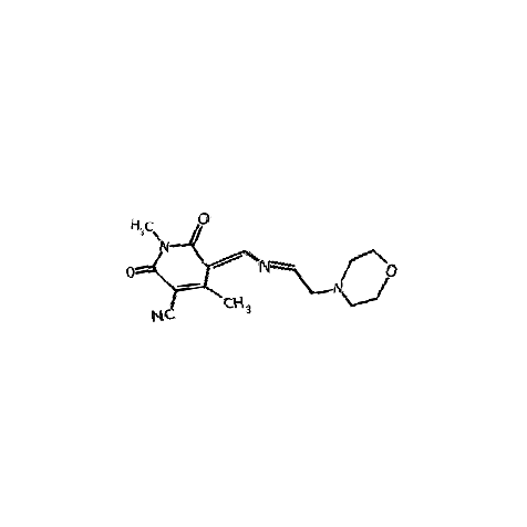 CC1=C(C#N)C(=O)N(C)C(=O)C1=CN=CCN1CCOCC1